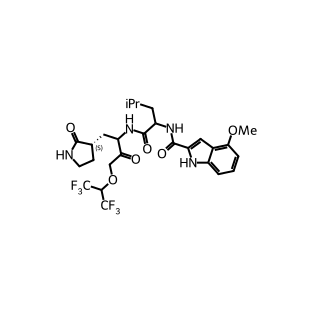 COc1cccc2[nH]c(C(=O)NC(CC(C)C)C(=O)NC(C[C@@H]3CCNC3=O)C(=O)COC(C(F)(F)F)C(F)(F)F)cc12